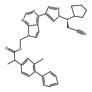 CC(C(=O)OCn1ccc2c(-c3cnn([C@H](CC#N)C4CCCC4)c3)ncnc21)c1ccc(-c2ccccc2)c(F)c1